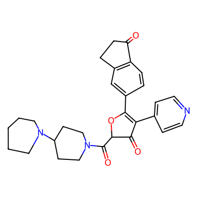 O=C1CCc2cc(C3=C(c4ccncc4)C(=O)C(C(=O)N4CCC(N5CCCCC5)CC4)O3)ccc21